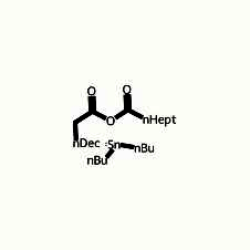 CCCCCCCCCCCC(=O)OC(=O)CCCCCCC.CCC[CH2][Sn][CH2]CCC